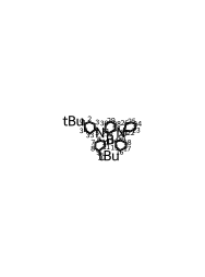 CC(C)(C)c1ccc(N2c3ccc(C(C)(C)C)cc3B3c4ccccc4N(c4ccccc4)c4cccc2c43)cc1